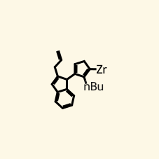 C=CCC1=Cc2ccccc2C1C1=CC[C]([Zr])=C1CCCC